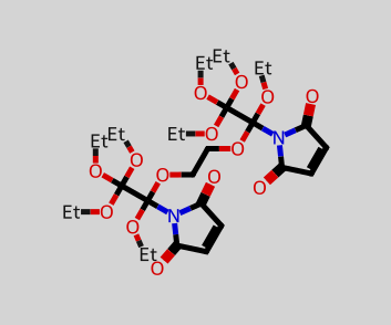 CCOC(OCC)(OCC)C(OCC)(OCCOC(OCC)(N1C(=O)C=CC1=O)C(OCC)(OCC)OCC)N1C(=O)C=CC1=O